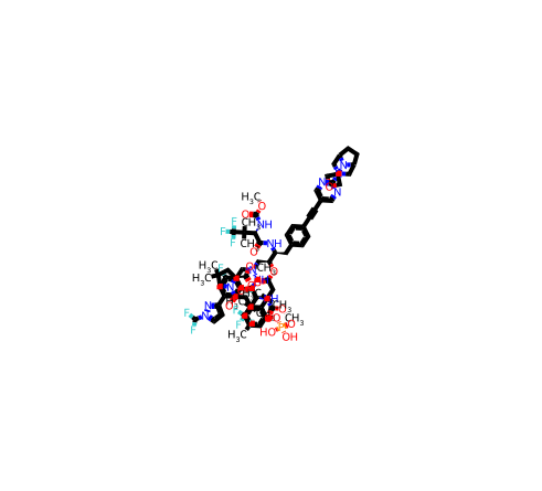 COC(=O)N[C@H](C(=O)N[C@@H](Cc1ccc(C#Cc2cnc(N3CC4CCC(C3)N4C3COC3)nc2)cc1)[C@H](CN(Cc1c(F)cc(-c2ccn(C(F)F)n2)cc1F)NC(=O)[C@@H](NC(=O)OC)C(C)(C)C(F)(F)F)OC(=O)CC(C)(C)c1c(CC(=O)N2CC(C)(C)C[C@H]2C(=O)OC)cc(C)cc1OP(=O)(O)O)C(C)(C)C(F)(F)F